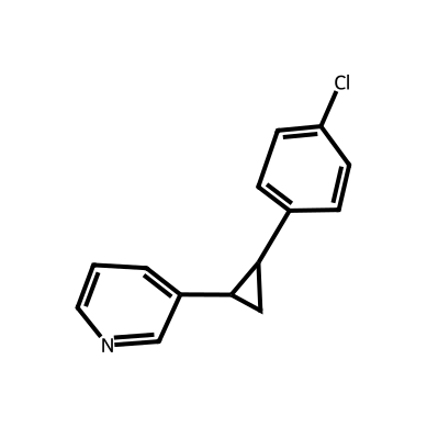 Clc1ccc(C2CC2c2cccnc2)cc1